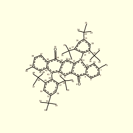 Cc1ccc2c(=O)c3cc4c(cc3n(-c3c(C(C)(C)C)cc(C(C)(C)C)cc3C(C)(C)C)c2c1)c(=O)c1ccc(C)cc1n4-c1c(C(C)(C)C)cc(C(C)(C)C)cc1C(C)(C)C